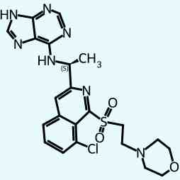 C[C@H](Nc1ncnc2[nH]cnc12)c1cc2cccc(Cl)c2c(S(=O)(=O)CCN2CCOCC2)n1